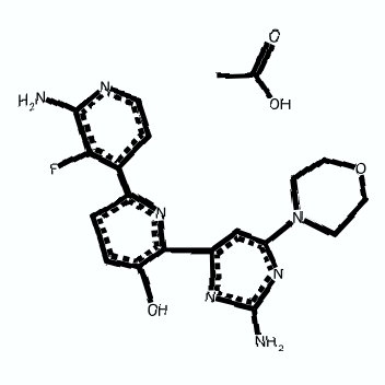 CC(=O)O.Nc1nc(-c2nc(-c3ccnc(N)c3F)ccc2O)cc(N2CCOCC2)n1